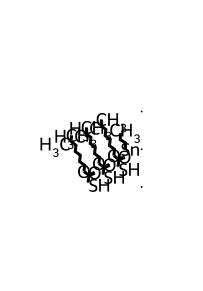 CC(C)CCCCCOC(=O)CS.CC(C)CCCCCOC(=O)CS.CC(C)CCCCCOC(=O)CS.CCC[CH2][Sn]